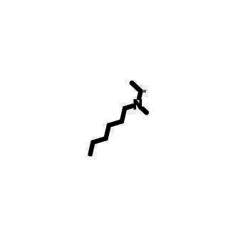 C[CH]N(C)CCCCCC